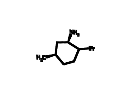 CC(C)C1CC[C@@H](C)C[C@H]1N